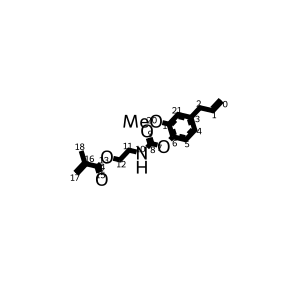 C=CCc1ccc(OC(=O)NCCOC(=O)C(=C)C)c(OC)c1